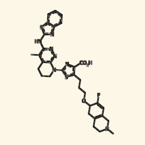 Cc1c(Nc2nc3ccccc3s2)nnc2c1CCCN2c1nc(C(=O)O)c(CCCOC2CC3=C(C=C2F)CN(C)CC3)s1